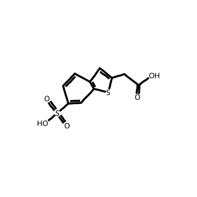 O=C(O)Cc1cc2ccc(S(=O)(=O)O)cc2s1